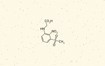 CS(=O)(=O)c1cccc(NCC(=O)O)c1[N+](=O)[O-]